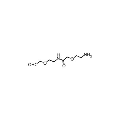 NCCOCC(=O)NCCOCC=O